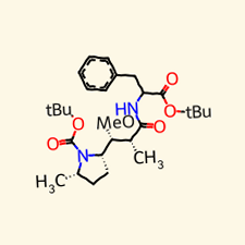 CO[C@H]([C@@H](C)C(=O)NC(Cc1ccccc1)C(=O)OC(C)(C)C)[C@@H]1CC[C@H](C)N1C(=O)OC(C)(C)C